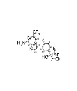 Cc1ccc(C(O)(CCl)C(F)F)cc1-c1cnc2c(N)nc(C(F)(F)F)cn12